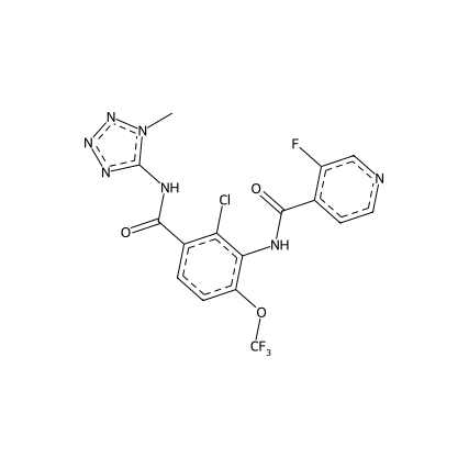 Cn1nnnc1NC(=O)c1ccc(OC(F)(F)F)c(NC(=O)c2ccncc2F)c1Cl